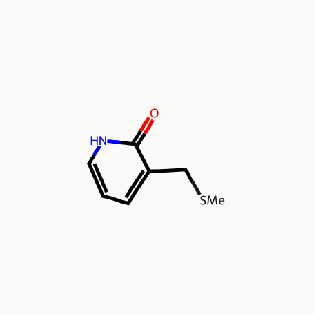 CSCc1ccc[nH]c1=O